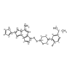 C[C@@H](O)c1ccc(F)c(N2CCN(CCn3ncc4c3nc(N)n3nc(-c5ccco5)nc43)CC2)c1